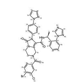 C[C@H](NC(=O)c1c2n(c(=O)n1-c1ccc(-n3cccn3)cc1)CCN(C(=O)c1ccc(Br)c(Cl)c1)C2)c1ccccc1-n1cncn1